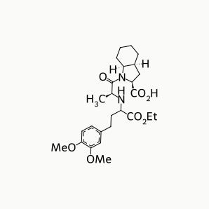 CCOC(=O)C(CCc1ccc(OC)c(OC)c1)N[C@@H](C)C(=O)N1[C@H](C(=O)O)C[C@@H]2CCCC[C@@H]21